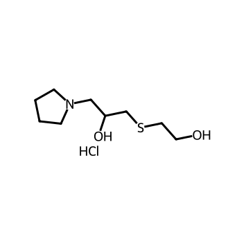 Cl.OCCSCC(O)CN1CCCC1